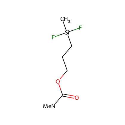 CNC(=O)OCCC[Si](C)(F)F